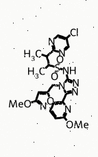 COc1cc(Cn2c(NS(=O)(=O)C(C)C(C)c3ncc(Cl)cn3)nnc2-c2cccc(OC)n2)on1